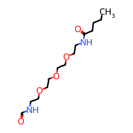 CCCCC(=O)NCCOCCOCCOCCNC=O